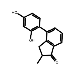 CC1Cc2c(cccc2-c2ccc(O)cc2O)C1=O